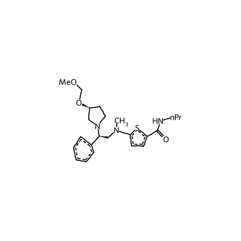 CCCNC(=O)c1ccc(N(C)C[C@@H](c2ccccc2)N2CC[C@H](OCOC)C2)s1